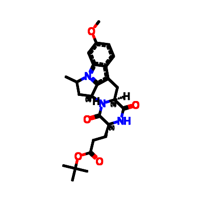 COc1ccc2c3c4n(c2c1)C(C)C[C@@H]4N1C(=O)[C@H](CCC(=O)OC(C)(C)C)NC(=O)[C@@H]1C3